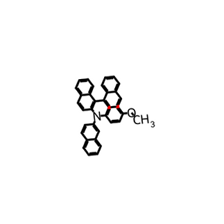 COc1ccc(N(c2ccc3ccccc3c2)c2ccc3ccccc3c2-c2cccc3ccccc23)cc1